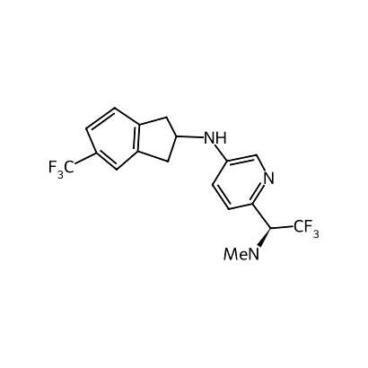 CN[C@@H](c1ccc(NC2Cc3ccc(C(F)(F)F)cc3C2)cn1)C(F)(F)F